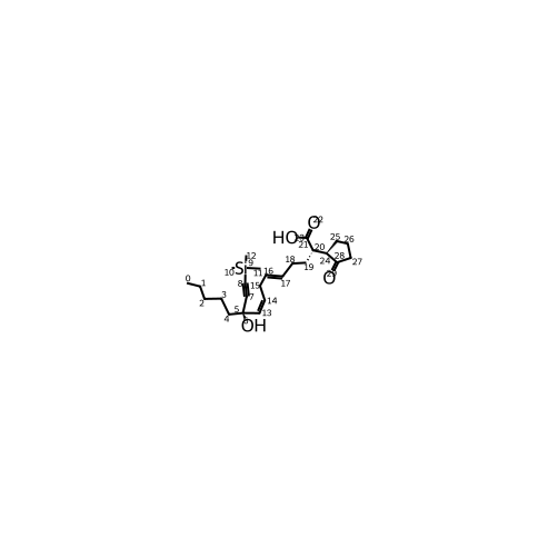 CCCCC[C@](O)(C#C[Si](C)(C)C)/C=C\C/C=C/CC[C@H](C(=O)O)[C@H]1CCCC1=O